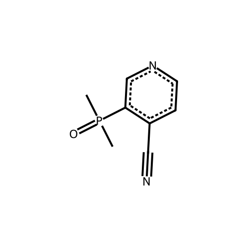 CP(C)(=O)c1cnccc1C#N